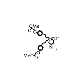 COC(=O)COc1ccc(CCC[N+]2(CCCc3ccc(OCC(=O)OC)cc3)CCCC(N)C2)cc1.Cl.[Cl-]